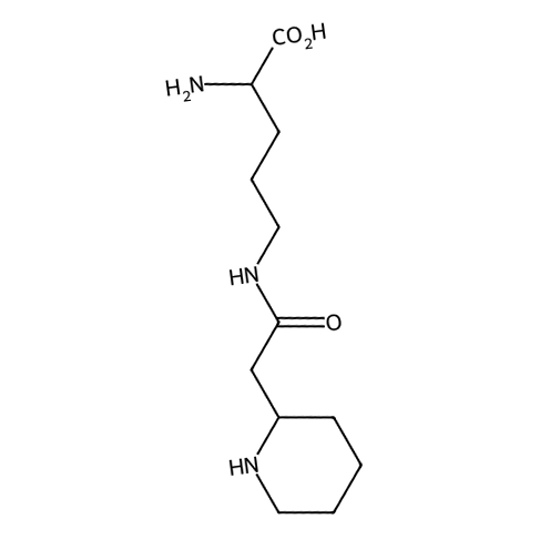 NC(CCCNC(=O)CC1CCCCN1)C(=O)O